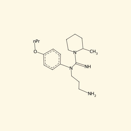 CCCOc1ccc(N(CCCN)C(=N)N2CCCCC2C)cc1